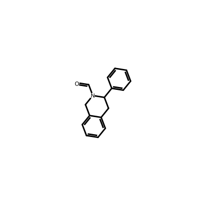 O=CN1Cc2ccccc2CC1c1ccccc1